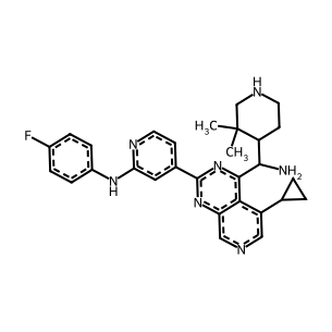 CC1(C)CNCCC1C(N)c1nc(-c2ccnc(Nc3ccc(F)cc3)c2)nc2cncc(C3CC3)c12